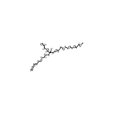 COCCOCOCCOCCOCC(C)(COCC=O)COCCOCCN=[N+]=[N-]